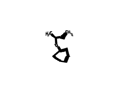 C=CC(C)Oc1c[c]ccc1